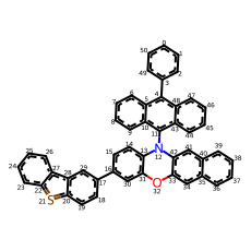 c1ccc(-c2c3ccccc3c(N3c4ccc(-c5ccc6sc7ccccc7c6c5)cc4Oc4cc5ccccc5cc43)c3ccccc23)cc1